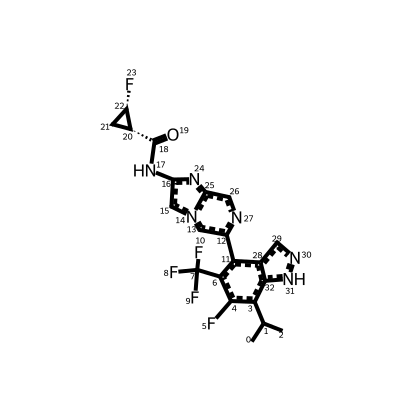 CC(C)c1c(F)c(C(F)(F)F)c(-c2cn3cc(NC(=O)[C@@H]4C[C@@H]4F)nc3cn2)c2cn[nH]c12